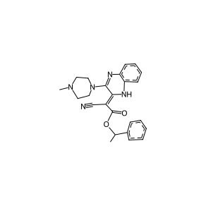 CC(OC(=O)C(C#N)=C1Nc2ccccc2N=C1N1CCN(C)CC1)c1ccccc1